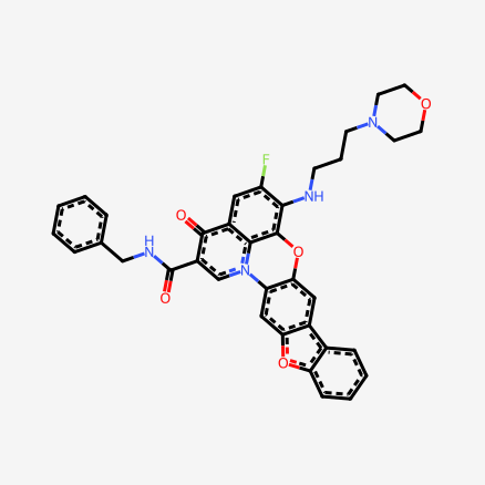 O=C(NCc1ccccc1)c1cn2c3c(c(NCCCN4CCOCC4)c(F)cc3c1=O)Oc1cc3c(cc1-2)oc1ccccc13